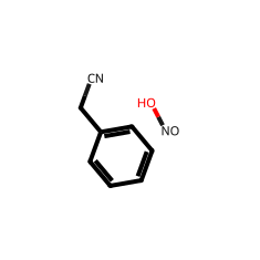 N#CCc1ccccc1.O=NO